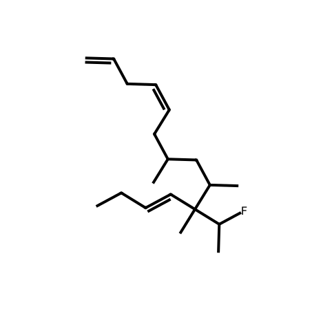 C=CC/C=C\CC(C)CC(C)C(C)(/C=C/CC)C(C)F